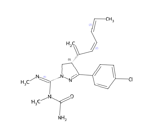 C=C(/C=C\C=C/C)[C@H]1CN(/C(=N/C)N(C)C(N)=O)N=C1c1ccc(Cl)cc1